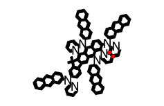 CC1(C)c2cc(N(c3ccc4cc5ccccc5cc4c3)c3ccccn3)ccc2-c2cc3c(N(c4ccc5cc6ccccc6cc5c4)c4ccccn4)c4cc(N(c5ccc6cc7ccccc7cc6c5)c5ccccn5)ccc4c(N(c4ccc5cc6ccccc6cc5c4)c4ccccn4)c3cc21